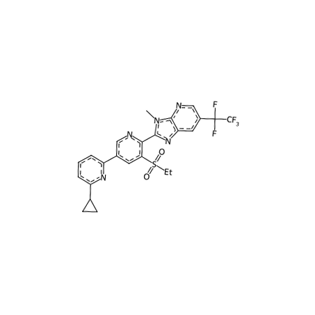 CCS(=O)(=O)c1cc(-c2cccc(C3CC3)n2)cnc1-c1nc2cc(C(F)(F)C(F)(F)F)cnc2n1C